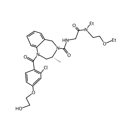 CCOCCN(CC)C(=O)CNC(=O)N1Cc2ccccc2N(C(=O)c2ccc(OCCO)cc2Cl)C[C@H]1C